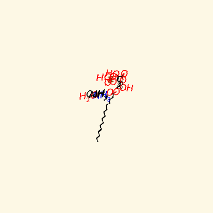 CCCCCCCCCCCCCCCC(=O)OC[C@H](O)[C@H]1OC(=O)C(O)=C1OS(=O)(=O)O.N.O.[AlH3].[CaH2]